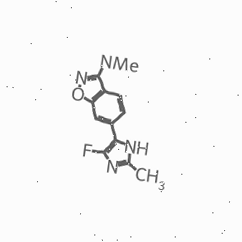 CNc1noc2cc(-c3[nH]c(C)nc3F)ccc12